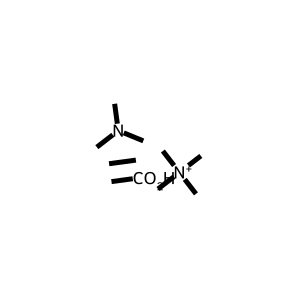 CC.CC(=O)O.CN(C)C.C[N+](C)(C)C